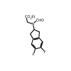 CCOC(=O)CN(C=O)C1Cc2cc(F)c(F)cc2C1